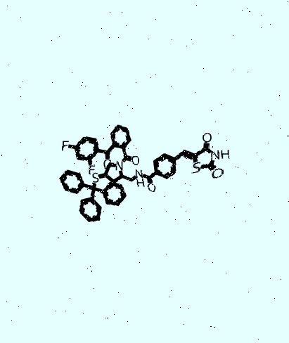 O=C1NC(=O)C(=Cc2ccc(C(=O)NCC3CC(SC(c4ccccc4)(c4ccccc4)c4ccccc4)CN3C(=O)c3ccccc3C(=O)c3ccc(F)cc3F)cc2)S1